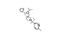 CCC(C)(c1ccc(C)nc1)N1CC[C@@](CCc2cccs2)(COC(C)C)C1